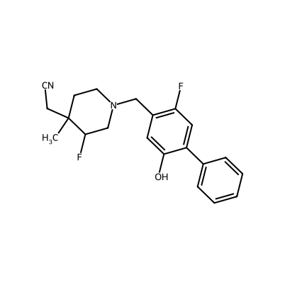 CC1(CC#N)CCN(Cc2cc(O)c(-c3ccccc3)cc2F)CC1F